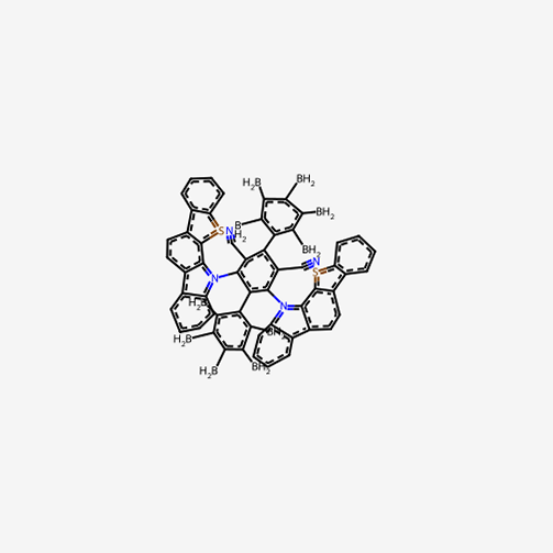 Bc1c(B)c(B)c(-c2c(C#N)c(-n3c4ccccc4c4ccc5c6ccccc6sc5c43)c(-c3c(B)c(B)c(B)c(B)c3B)c(-n3c4ccccc4c4ccc5c6ccccc6sc5c43)c2C#N)c(B)c1B